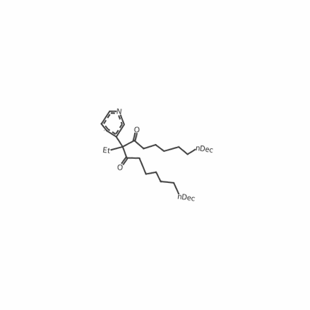 CCCCCCCCCCCCCCCC(=O)C(CC)(C(=O)CCCCCCCCCCCCCCC)c1[c]ccnc1